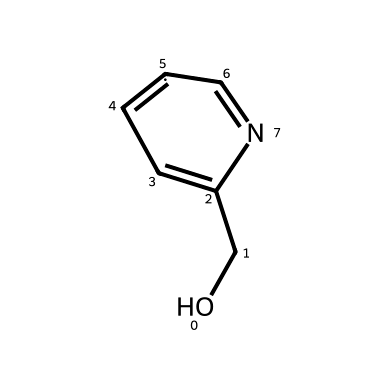 OCc1cc[c]cn1